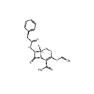 C=CSC1=C(C(=O)O)N2C(=O)C(NC(=O)Cc3ccccc3)[C@@H]2SC1